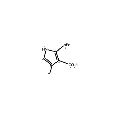 CCCc1[nH]cc(C)c1C(=O)O